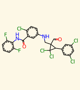 O=CC1(CNc2ccc(Cl)c(C(=O)Nc3c(F)cccc3F)c2)C(c2cc(Cl)cc(Cl)c2)C1(Cl)Cl